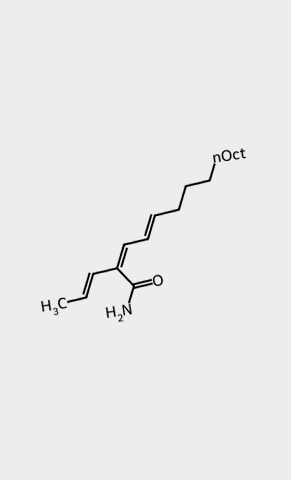 CC=CC(=CC=CCCCCCCCCCCC)C(N)=O